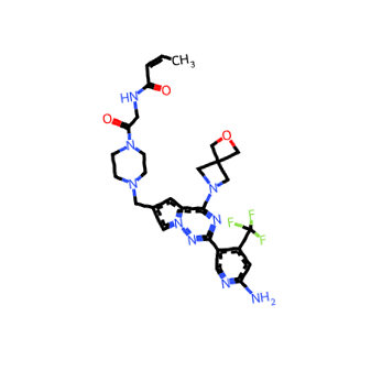 C/C=C\C(=O)NCC(=O)N1CCN(Cc2cc3c(N4CC5(COC5)C4)nc(-c4cnc(N)cc4C(F)(F)F)nn3c2)CC1